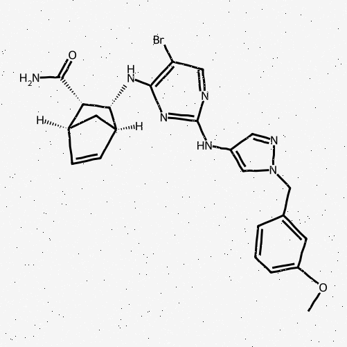 COc1cccc(Cn2cc(Nc3ncc(Br)c(N[C@H]4[C@@H](C(N)=O)[C@@H]5C=C[C@H]4C5)n3)cn2)c1